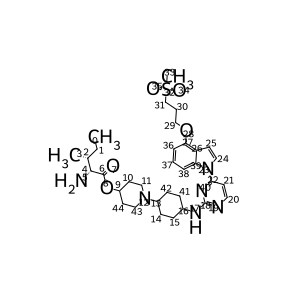 CC[C@@H](C)[C@@H](N)C(=O)OC1CCN(C2CCC(Nc3nccc(-n4ccc5c(OCCCS(C)(=O)=O)cccc54)n3)CC2)CC1